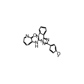 COc1ccc(-c2nc3c4ccccc4nc(Nc4ccccnc4=O)n3n2)cc1